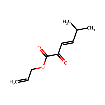 C=CCOC(=O)C(=O)/C=C/C(C)C